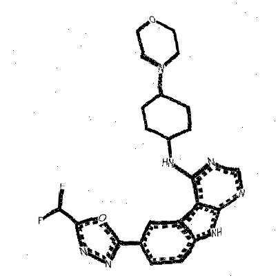 FC(F)c1nnc(-c2ccc3[nH]c4ncnc(NC5CCC(N6CCOCC6)CC5)c4c3c2)o1